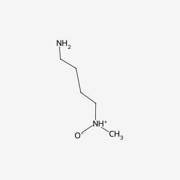 C[NH+]([O-])CCCCN